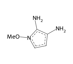 COn1ccc(N)c1N